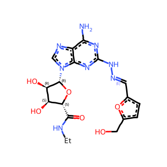 CCNC(=O)[C@H]1O[C@@H](n2cnc3c(N)nc(N/N=C/c4ccc(CO)o4)nc32)[C@H](O)[C@@H]1O